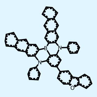 c1ccc(N2c3cc4cc5ccccc5cc4cc3B3c4cc5cc6ccccc6cc5cc4N(c4ccccc4)c4cc(-c5ccc6oc7ccccc7c6c5)cc2c43)cc1